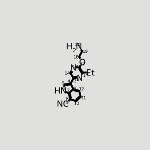 CCc1nc(-c2c[nH]c3c(C#N)cccc23)cnc1OCCN